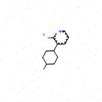 CCCCC1CCC(c2cccnc2OC(=O)O)CC1